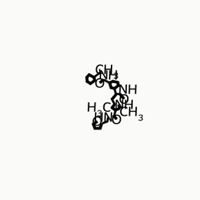 Cc1[nH]c(/C=C2\C(=O)Nc3ccc(C(=O)N[C@H](C)c4ccccc4)cc32)c(C)c1C(=O)NCc1ccco1